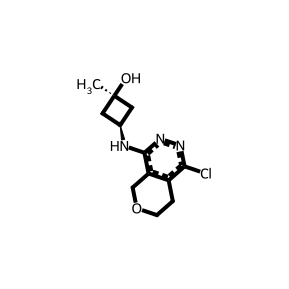 C[C@]1(O)C[C@@H](Nc2nnc(Cl)c3c2COCC3)C1